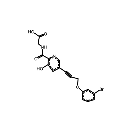 O=C(O)CNC(=O)c1ncc(C#CCOc2cccc(Br)c2)cc1O